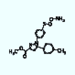 COC(=O)c1cc(-c2ccc(C)cc2)n(-c2ccc(SOON)cc2)n1